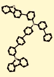 c1ccc(-c2cccc(N(c3ccc(-c4ccc(-c5cccc(-n6c7ccccc7c7ccccc76)c5)cc4)cc3)c3cccc(-c4ccc5c(c4)oc4ccccc45)c3)c2)cc1